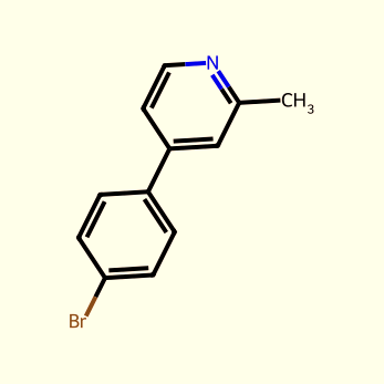 Cc1cc(-c2ccc(Br)cc2)ccn1